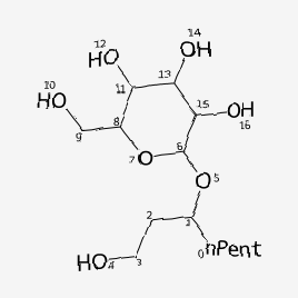 CCCCCC(CCO)OC1OC(CO)C(O)C(O)C1O